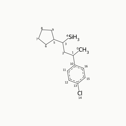 CC(CC([SiH3])C1CCCC1)c1ccc(Cl)cc1